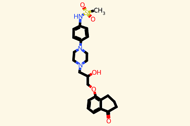 CS(=O)(=O)Nc1ccc(N2CCN(CC(O)COc3cccc4c3CCCC4=O)CC2)cc1